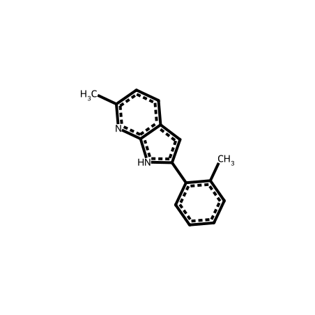 Cc1ccc2cc(-c3ccccc3C)[nH]c2n1